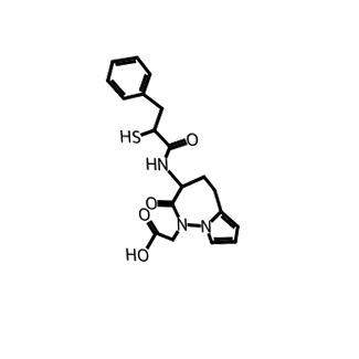 O=C(O)CN1C(=O)C(NC(=O)C(S)Cc2ccccc2)CCc2cccn21